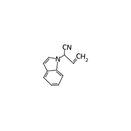 C=CC(C#N)n1ccc2ccccc21